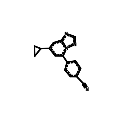 N#Cc1ccc(-c2cc(C3CC3)cc3ncnn23)cc1